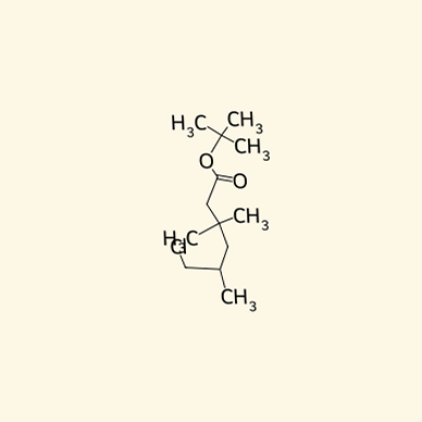 CC(CCl)CC(C)(C)CC(=O)OC(C)(C)C